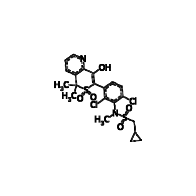 CN(c1c(Cl)ccc(C2=C(O)c3ncccc3C(C)(C)S2(=O)=O)c1Cl)S(=O)(=O)CC1CC1